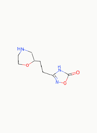 O=c1[nH]c(CCC2CNCCO2)no1